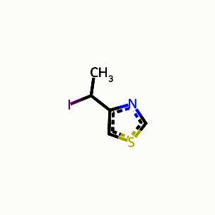 CC(I)c1cscn1